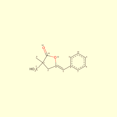 CC1(C(=O)O)CC(=Cc2ccccc2)OC1=O